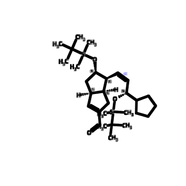 CC(C)(C)[Si](C)(C)O[C@H](/C=C\[C@H]1[C@H]2CC(C=O)=C[C@H]2C[C@H]1O[Si](C)(C)C(C)(C)C)C1CCCC1